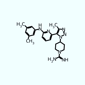 Cc1cc(C)cc(Nc2cccc(-c3c(C)nnn3C3CCN(C(=N)N)CC3)n2)c1